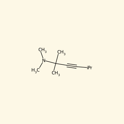 CC(C)C#CC(C)(C)N(C)C